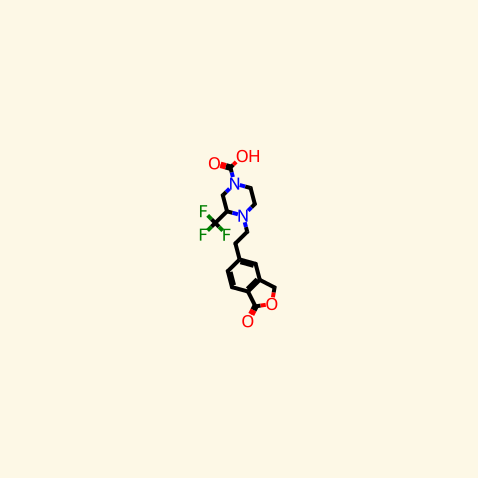 O=C1OCc2cc(CCN3CCN(C(=O)O)CC3C(F)(F)F)ccc21